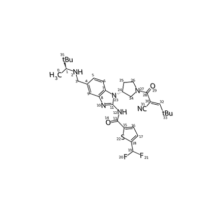 C[C@H](NCc1ccc2c(c1)nc(NC(=O)c1ccc(C(F)F)s1)n2[C@@H]1CCN(C(=O)/C(C#N)=C/C(C)(C)C)C1)C(C)(C)C